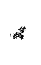 C[C@H](Nc1cc(-n2nc(N3C[C@@H]4C[C@H]3CN4C(=O)O)c3ccc(C(F)(F)F)cc32)ccn1)c1ccccc1